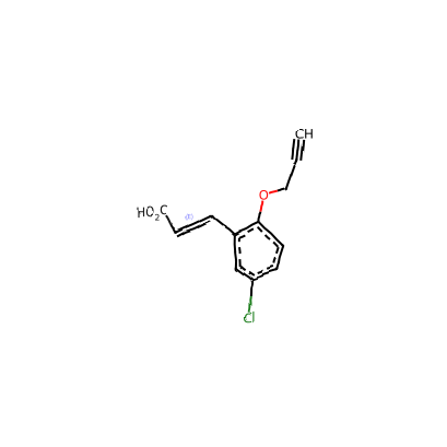 C#CCOc1ccc(Cl)cc1/C=C/C(=O)O